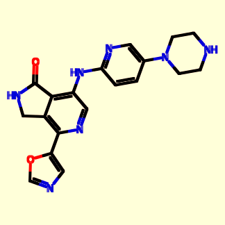 O=C1NCc2c(-c3cnco3)ncc(Nc3ccc(N4CCNCC4)cn3)c21